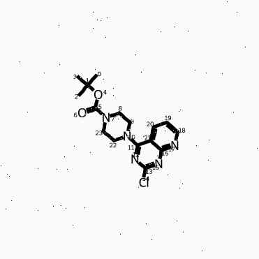 CC(C)(C)OC(=O)N1CCN(c2nc(Cl)nc3ncccc23)CC1